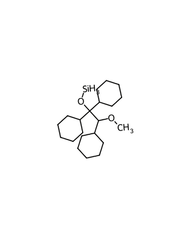 COC(C1CCCCC1)C(O[SiH3])(C1CCCCC1)C1CCCCC1